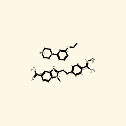 CCOc1cccc(N2CCNCC2)c1.Cn1c(CCc2ccc(C(N)=NO)cc2)nc2cc(C(=O)O)ccc21